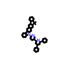 CC1(C)c2ccccc2-c2cc3cc4c5ccccc5n(-c5ccc(-c6cc(-c7ccccc7)cc(-c7ccccc7)n6)cn5)c4cc3cc21